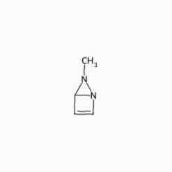 CN1C2C=CN21